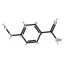 O=C(O)c1ccc(SF)nc1